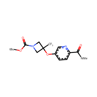 CNC(=O)c1ccc(OC2(C(F)(F)F)CN(C(=O)OC(C)(C)C)C2)cn1